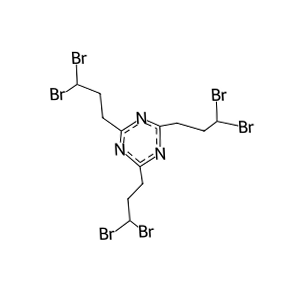 BrC(Br)CCc1nc(CCC(Br)Br)nc(CCC(Br)Br)n1